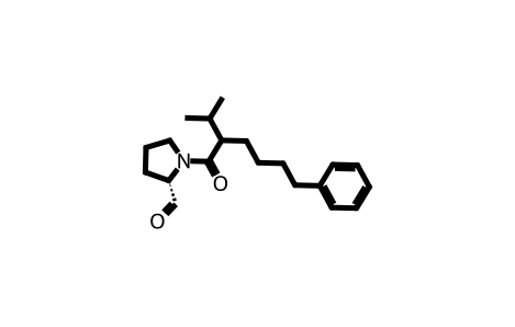 CC(C)C(CCCCc1ccccc1)C(=O)N1CCC[C@H]1C=O